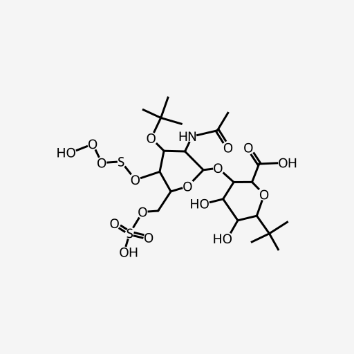 CC(=O)NC1C(OC2C(C(=O)O)OC(C(C)(C)C)C(O)C2O)OC(COS(=O)(=O)O)C(OSOOO)C1OC(C)(C)C